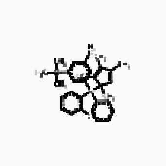 CC1=[C]C(C)([Si](c2ccccc2)(c2cc(C)cc([Si](C)(C)C)c2)c2ccccc2C)C(C)=C1C